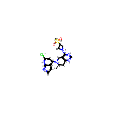 C[C@@H]1Cc2ncnc(N3CC(S(C)(=O)=O)C3)c2CN1c1cc(Cl)nc2[nH]ccc12